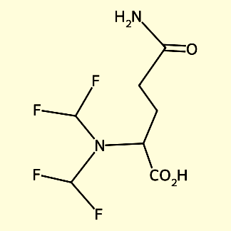 NC(=O)CCC(C(=O)O)N(C(F)F)C(F)F